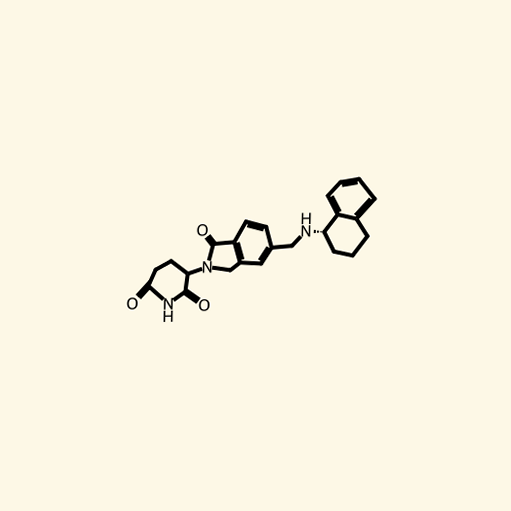 O=C1CCC(N2Cc3cc(CN[C@H]4CCCc5ccccc54)ccc3C2=O)C(=O)N1